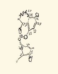 Cc1cc(OB(OCCN)Oc2ccc(Cl)c(C)c2)ccc1Cl